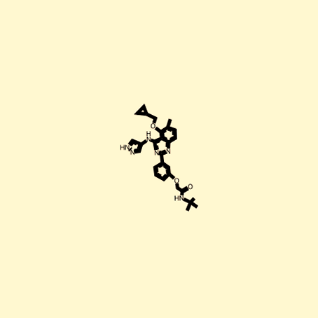 Cc1ccc2nc(-c3cccc(OCC(=O)NC(C)(C)C)c3)nc(Nc3cn[nH]c3)c2c1OCC1CC1